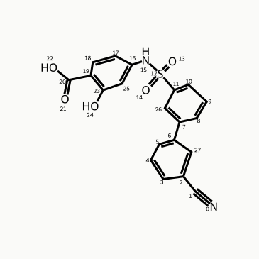 N#Cc1cccc(-c2cccc(S(=O)(=O)Nc3ccc(C(=O)O)c(O)c3)c2)c1